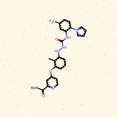 CNC(=O)c1cc(Oc2cccc(NNC(=O)Nc3cc(C(F)(F)F)ccc3-n3cccc3)c2C)ccn1